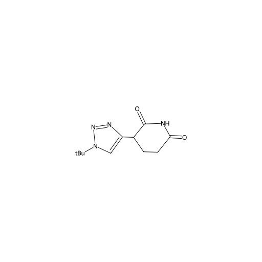 CC(C)(C)n1cc(C2CCC(=O)NC2=O)nn1